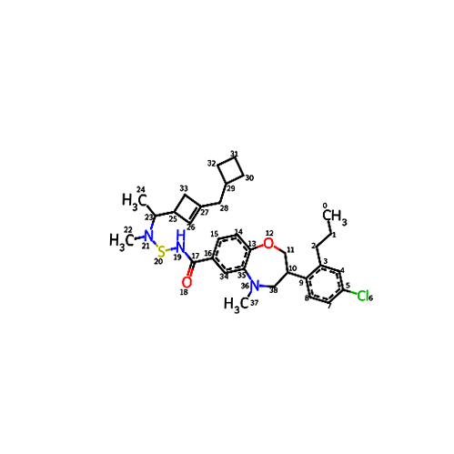 CCCc1cc(Cl)ccc1C1COc2ccc(C(=O)NSN(C)C(C)C3C=C(CC4CCC4)C3)cc2N(C)C1